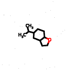 CC(C)C1CCC2OCCC2C1